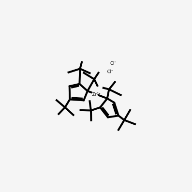 CC(C)(C)C1=C[C]([Zr+2][C]2(C(C)(C)C)C=C(C(C)(C)C)C=C2C(C)(C)C)(C(C)(C)C)C(C(C)(C)C)=C1.[Cl-].[Cl-]